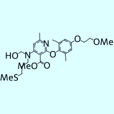 COCCOc1cc(C)c(Oc2nc(C)cc(N(CO)CCCSC)c2C(=O)OC)c(C)c1